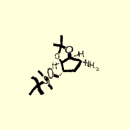 CC1(C)O[C@@H]2[C@@H](CO[Si](C)(C)C(C)(C)C)C[C@@H](N)[C@@H]2O1